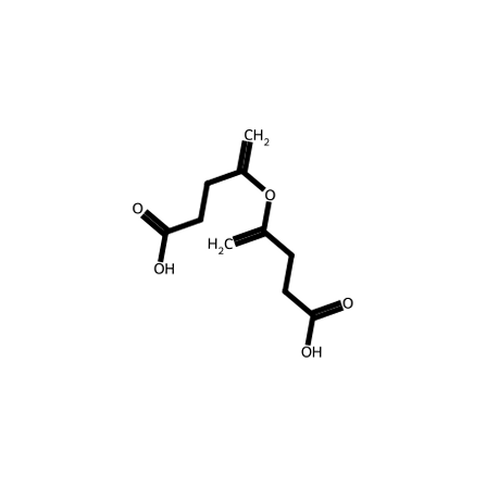 C=C(CCC(=O)O)OC(=C)CCC(=O)O